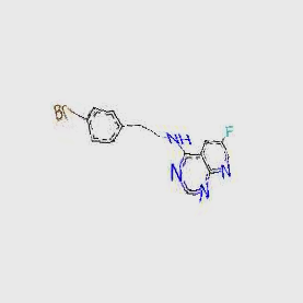 Fc1cnc2ncnc(NCCc3ccc(Br)cc3)c2c1